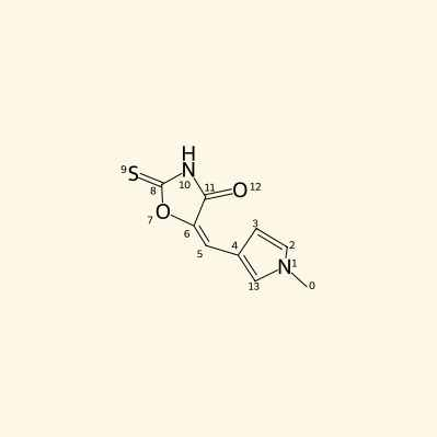 Cn1ccc(C=C2OC(=S)NC2=O)c1